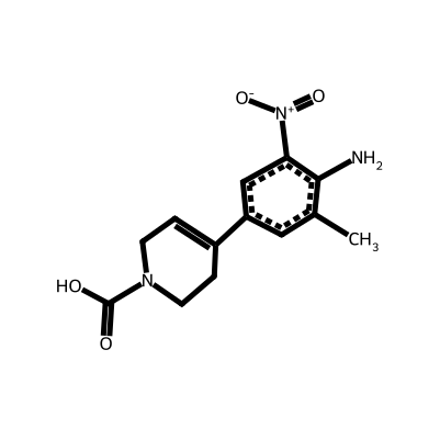 Cc1cc(C2=CCN(C(=O)O)CC2)cc([N+](=O)[O-])c1N